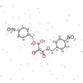 O=C(OCc1ccc([N+](=O)[O-])cc1)C(=O)C(=O)OCc1ccc([N+](=O)[O-])cc1